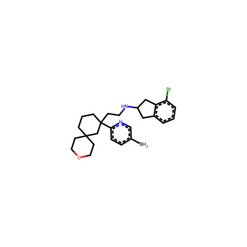 Bc1ccc(C2(CCNC3Cc4cccc(Br)c4C3)CCCC3(CCOCC3)C2)nc1